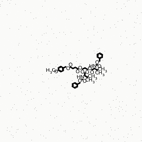 COc1ccc(COC(=O)CCC(=O)OC(CCOC(=O)[C@@H](NC(=O)OCc2ccccc2)C(C)C)OC(=O)[C@@H](NC(=O)OCc2ccccc2)C(C)C)cc1